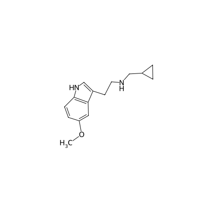 COc1ccc2[nH]cc(CCNCC3CC3)c2c1